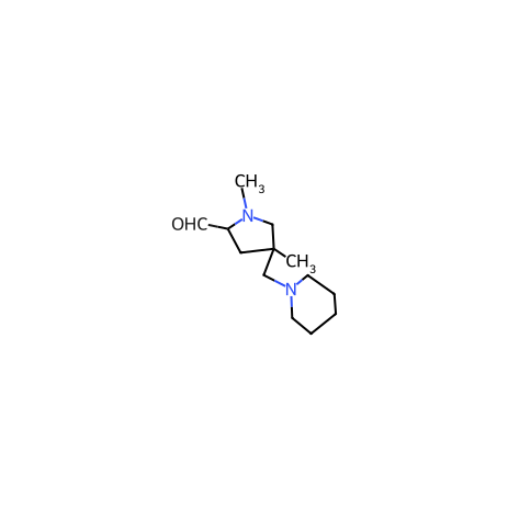 CN1CC(C)(CN2CCCCC2)CC1C=O